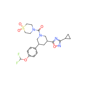 O=C(N1CCS(=O)(=O)CC1)N1CC(c2ccc(OC(F)F)cc2)CC(c2nc(C3CC3)no2)C1